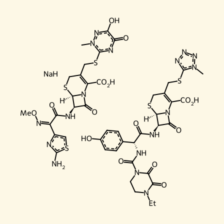 CCN1CCN(C(=O)N[C@@H](C(=O)N[C@@H]2C(=O)N3C(C(=O)O)=C(CSc4nnnn4C)CS[C@H]23)c2ccc(O)cc2)C(=O)C1=O.CO/N=C(\C(=O)N[C@@H]1C(=O)N2C(C(=O)O)=C(CSc3nc(=O)c(O)nn3C)CS[C@H]12)c1csc(N)n1.[NaH]